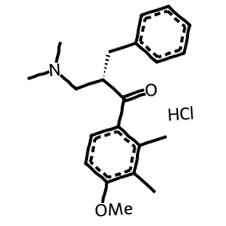 COc1ccc(C(=O)[C@@H](Cc2ccccc2)CN(C)C)c(C)c1C.Cl